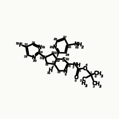 CC(C)(C)OC(=O)NC1=NC[C@H]2CN(c3ncc(F)cn3)C[C@@]2(c2cc(N)ccn2)S1